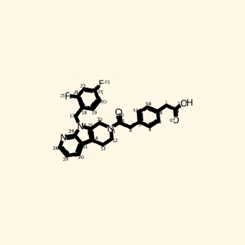 O=C(O)Cc1ccc(CC(=O)N2CCc3c(n(Cc4ccc(F)cc4F)c4ncccc34)C2)cc1